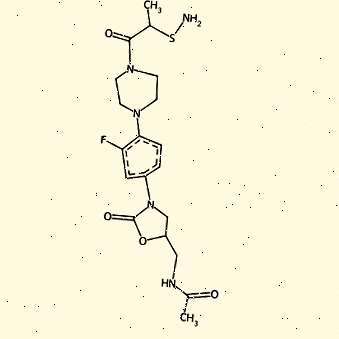 CC(=O)NCC1CN(c2ccc(N3CCN(C(=O)C(C)SN)CC3)c(F)c2)C(=O)O1